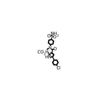 NS(=O)(=O)c1ccc(N(CC(=O)O)C(=O)c2cc(-c3ccc(Cl)cc3)[nH]n2)cc1